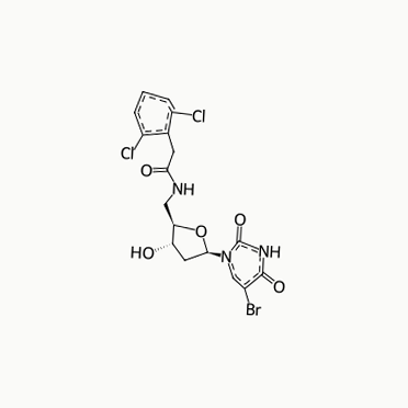 O=C(Cc1c(Cl)cccc1Cl)NC[C@H]1O[C@@H](n2cc(Br)c(=O)[nH]c2=O)C[C@@H]1O